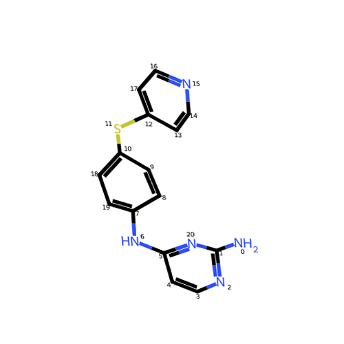 Nc1nccc(Nc2ccc(Sc3ccncc3)cc2)n1